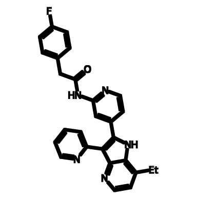 CCc1ccnc2c(-c3ccccn3)c(-c3ccnc(NC(=O)Cc4ccc(F)cc4)c3)[nH]c12